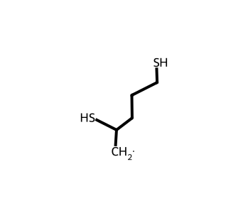 [CH2]C(S)CCCS